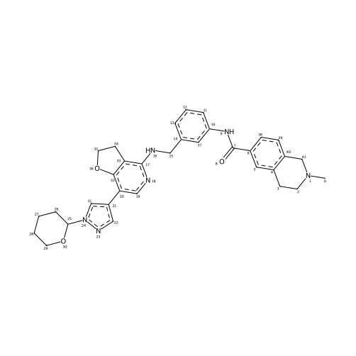 CN1CCc2cc(C(=O)Nc3cccc(CNc4ncc(-c5cnn(C6CCCCO6)c5)c5c4CCO5)c3)ccc2C1